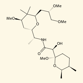 COC[C@H](C[C@H]1O[C@H]([C@@H](C)NC(=O)[C@@H](O)[C@@]2(OC)CC[C@@H](C)[C@@H](C)O2)C[C@@H](OC)C1(C)C)OC